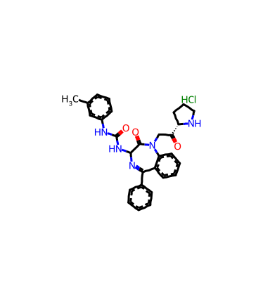 Cc1cccc(NC(=O)NC2N=C(c3ccccc3)c3ccccc3N(CC(=O)[C@@H]3CCCN3)C2=O)c1.Cl